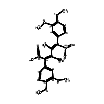 COc1ccc(C(=C(N)C(N)=C(c2ccc(OC)c(OC)c2)[N+](=O)[O-])[N+](=O)[O-])cc1OC